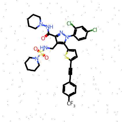 O=C(NN1CCCCC1)c1nn(-c2ccc(Cl)cc2Cl)c(-c2ccc(C#Cc3ccc(C(F)(F)F)cc3)s2)c1CNS(=O)(=O)N1CCCCC1